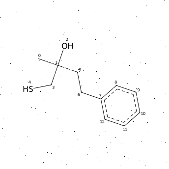 CC(O)(CS)CCc1ccccc1